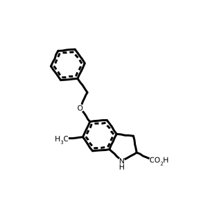 Cc1cc2c(cc1OCc1ccccc1)CC(C(=O)O)N2